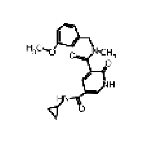 COc1cccc(CN(C)C(=O)c2cc(C(=O)NC3CC3)c[nH]c2=O)c1